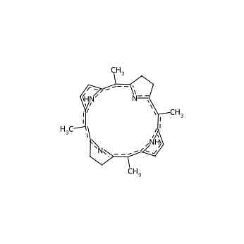 Cc1c2nc(c(C)c3ccc([nH]3)c(C)c3nc(c(C)c4ccc1[nH]4)CC3)CC2